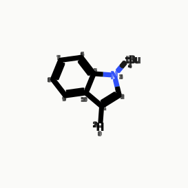 [2H]c1cn(C(C)(C)C)c2ccccc12